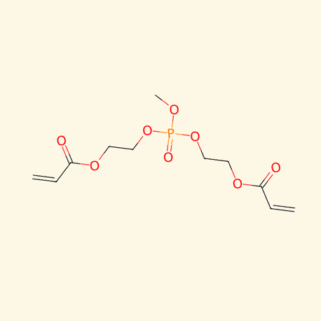 C=CC(=O)OCCOP(=O)(OC)OCCOC(=O)C=C